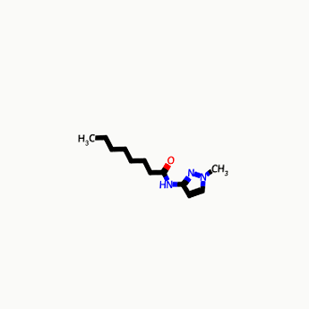 CCCCCCCC(=O)Nc1ccn(C)n1